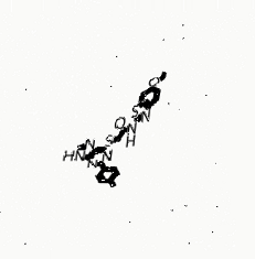 CCOc1ccc2nc(NC(=O)CSc3nc(-c4ccc(C)cc4)nc4[nH]cnc34)sc2c1